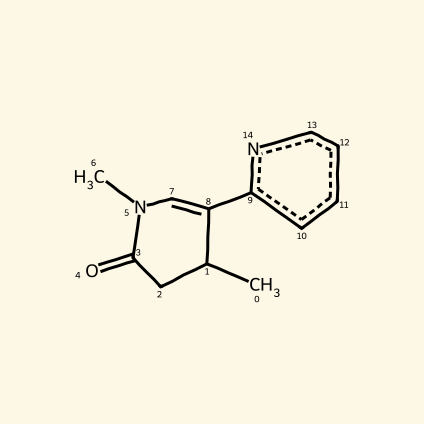 CC1CC(=O)N(C)C=C1c1ccccn1